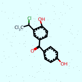 O=C(c1ccc(O)cc1)c1ccc(O)c(C(Cl)C(Cl)(Cl)Cl)c1